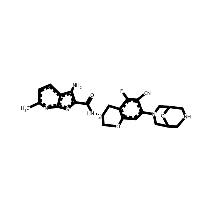 Cc1ccc2c(N)c(C(=O)N[C@H]3COc4cc(N5CC6CNCC(C5)O6)c(C#N)c(F)c4C3)sc2n1